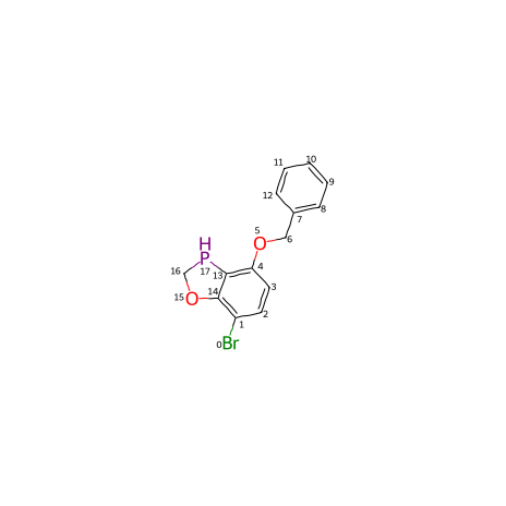 Brc1ccc(OCc2ccccc2)c2c1OCP2